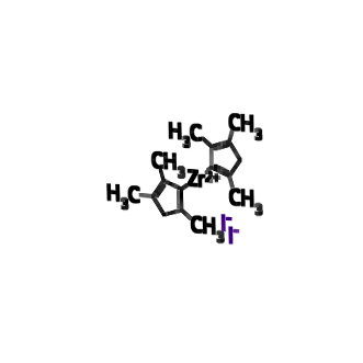 CC1=C(C)[C]([Zr+2][C]2=C(C)CC(C)=C2C)=C(C)C1.[I-].[I-]